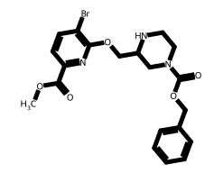 COC(=O)c1ccc(Br)c(OCC2CN(C(=O)OCc3ccccc3)CCN2)n1